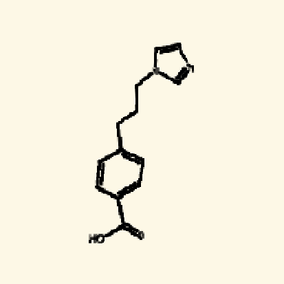 O=C(O)c1ccc(CCCn2ccnc2)cc1